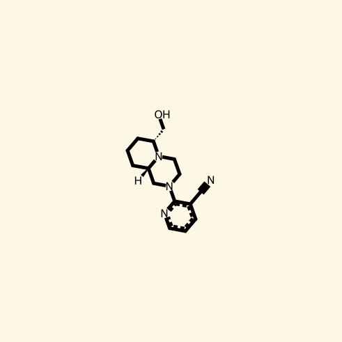 N#Cc1cccnc1N1CCN2[C@@H](CO)CCC[C@H]2C1